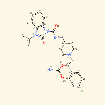 CC(C)n1c(=O)n(C(=O)NCC2CCN(CC(OC(N)=O)c3ccc(F)cc3)CC2)c2ccccc21